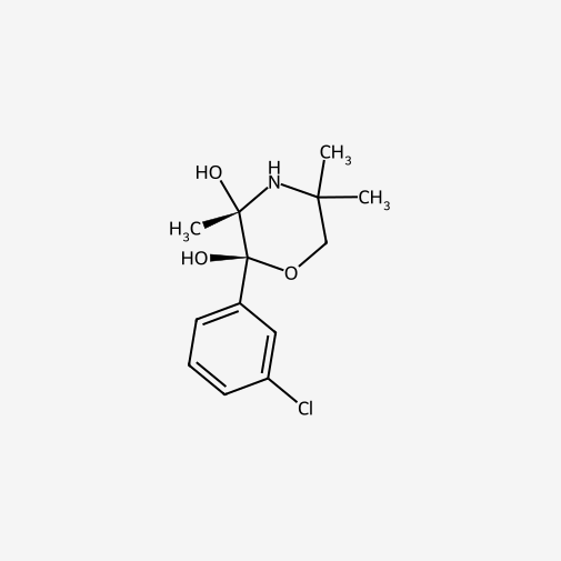 CC1(C)CO[C@](O)(c2cccc(Cl)c2)[C@](C)(O)N1